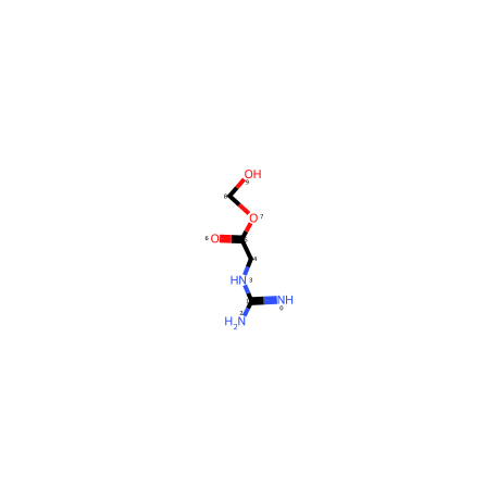 N=C(N)NCC(=O)OCO